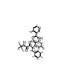 Cc1ccncc1C(=O)N[C@@H](CC(C)C)C(=O)NC(Cc1ccccc1)C(=O)C(=O)NC(C)(C)C